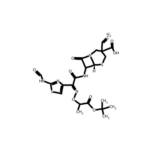 C=CC1(C(=O)O)CS[C@@H]2C(NC(=O)C(=NOC(C)C(=O)OC(C)(C)C)c3csc(NC=O)n3)C(=O)N2C1